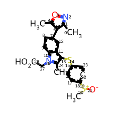 Cc1noc(C)c1-c1ccc2c(c1)c(Sc1ccc([S+](C)[O-])cc1)c(C)n2CC(=O)O